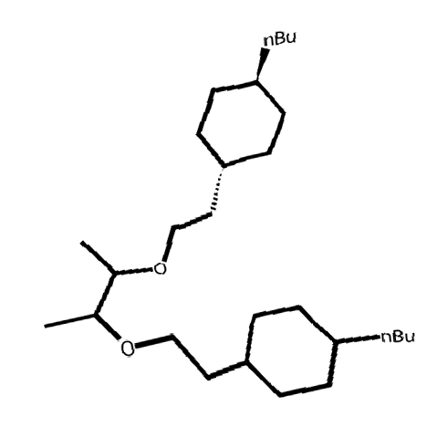 CCCCC1CCC(CCOC(C)C(C)OCC[C@H]2CC[C@H](CCCC)CC2)CC1